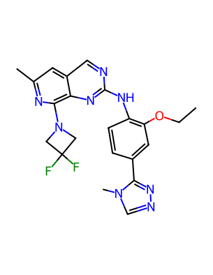 CCOc1cc(-c2nncn2C)ccc1Nc1ncc2cc(C)nc(N3CC(F)(F)C3)c2n1